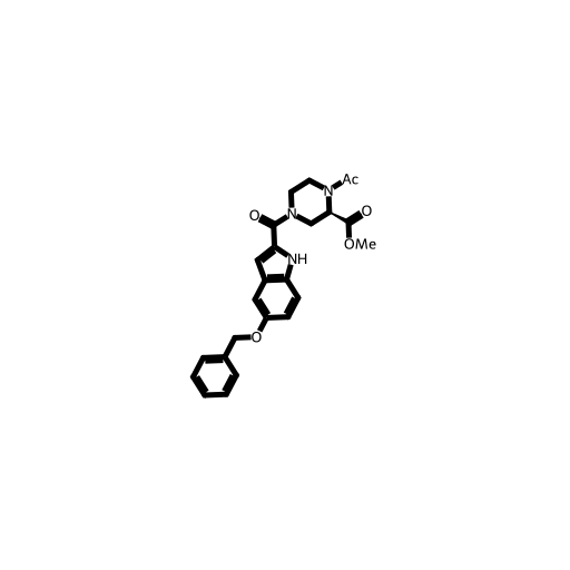 COC(=O)[C@H]1CN(C(=O)c2cc3cc(OCc4ccccc4)ccc3[nH]2)CCN1C(C)=O